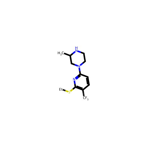 CCSc1nc(N2CCNC(C)C2)ccc1C(F)(F)F